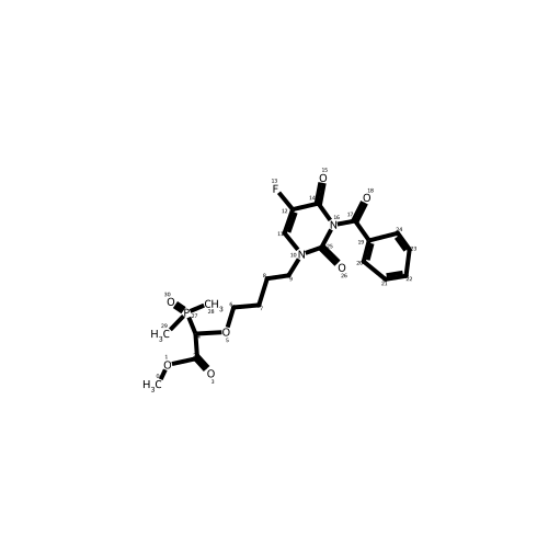 COC(=O)C(OCCCCn1cc(F)c(=O)n(C(=O)c2ccccc2)c1=O)P(C)(C)=O